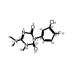 CN(C)c1nc(=O)n(-c2ccc(F)c(Cl)c2)c(=O)n1C